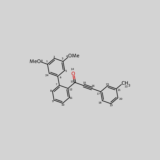 COc1cc(OC)cc(-c2ccccc2C(=O)C#Cc2cccc(C)c2)c1